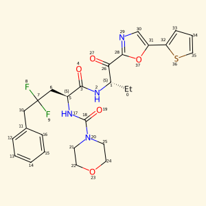 CC[C@H](NC(=O)[C@H](CC(F)(F)Cc1ccccc1)NC(=O)N1CCOCC1)C(=O)c1ncc(-c2cccs2)o1